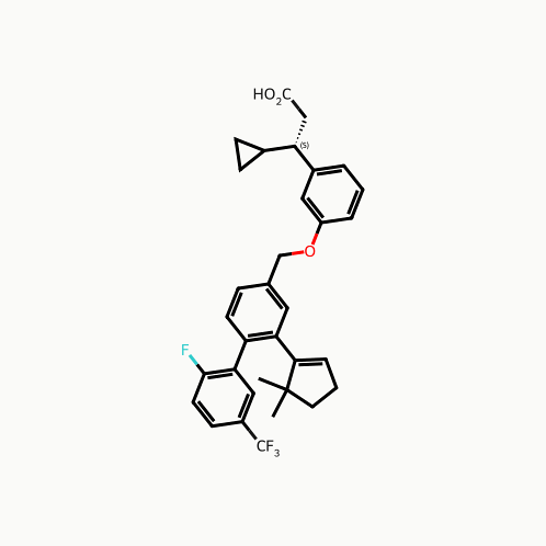 CC1(C)CCC=C1c1cc(COc2cccc([C@@H](CC(=O)O)C3CC3)c2)ccc1-c1cc(C(F)(F)F)ccc1F